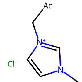 CC(=O)C[n+]1ccn(C)c1.[Cl-]